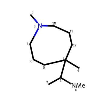 CNC(C)C1(C)CCCN(C)CCC1